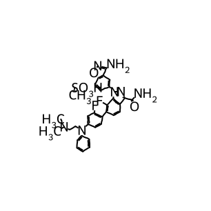 CN(C)CCN(c1ccccc1)c1ccc(-c2ccc3c(C(N)=O)nn(-c4ccc5onc(N)c5c4)c3c2F)c(F)c1.CS(=O)(=O)O